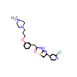 CN1CCN(CCCOc2cccc(CC(=O)Nc3nc(-c4ccnc(Cl)c4)cs3)c2)CC1